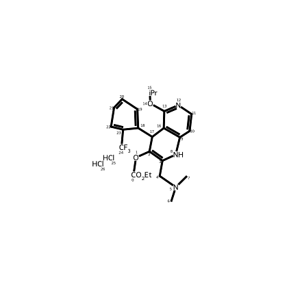 CCOC(=O)OC1=C(CN(C)C)Nc2ccnc(OC(C)C)c2C1c1ccccc1C(F)(F)F.Cl.Cl